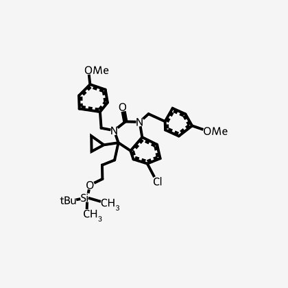 COc1ccc(CN2C(=O)N(Cc3ccc(OC)cc3)C(CCCO[Si](C)(C)C(C)(C)C)(C3CC3)c3cc(Cl)ccc32)cc1